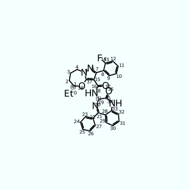 CC[C@@H]1CCCn2nc(-c3ccccc3F)c(C(=O)N[C@H]3N=C(c4ccccc4)c4ccccc4NC3=O)c2O1